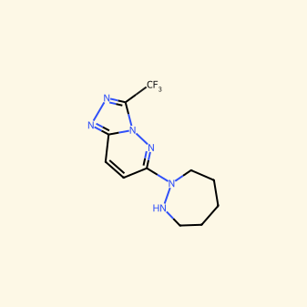 FC(F)(F)c1nnc2ccc(N3CCCCCN3)nn12